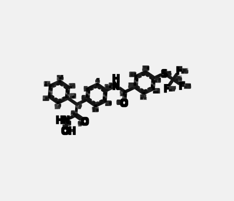 O=C(Nc1ccc(C(C(=O)NO)c2ccccc2)cc1)c1ccc(SC(F)(F)F)cc1